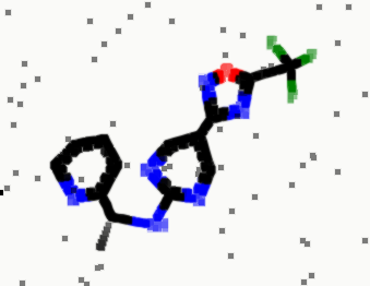 C[C@@H](Nc1ncc(-c2noc(C(F)(F)F)n2)cn1)c1ccccn1